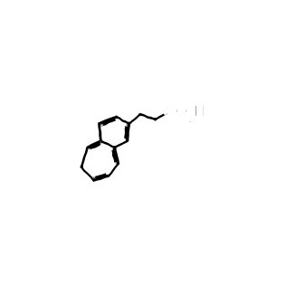 O=C(O)CCc1ccc2c(c1)=CC=CCC=2